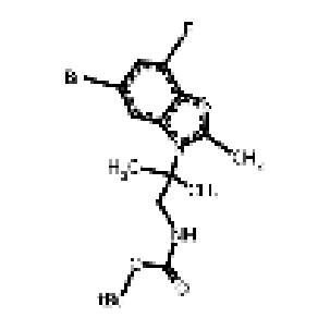 Cc1nc2c(F)cc(Br)cc2n1C(C)(C)CNC(=O)OC(C)(C)C